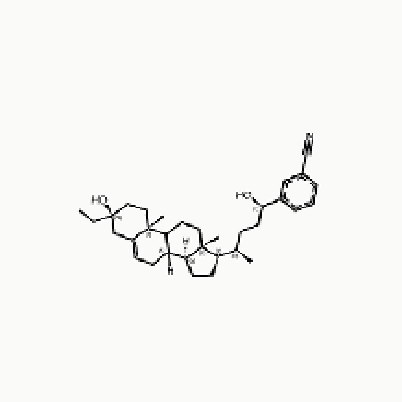 CC[C@]1(O)CC[C@@]2(C)C(=CC[C@@H]3C2CC[C@]2(C)[C@@H]([C@H](C)CC[C@@H](O)c4cccc(C#N)c4)CC[C@@H]32)C1